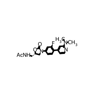 CC(=O)NC[C@H]1CN(c2ccc(-c3ccnc(N(C)C)c3)c(F)c2)C(=O)O1